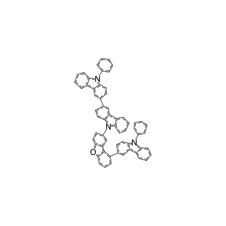 c1ccc(-n2c3ccccc3c3cc(-c4ccc5c(c4)c4ccccc4n5-c4ccc5oc6cccc(-c7ccc8c(c7)c7ccccc7n8-c7ccccc7)c6c5c4)ccc32)cc1